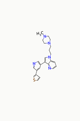 CN1CCN(CCCn2cc(-c3cncc(-c4ccsc4)c3)c3ncccc32)CC1